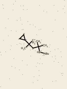 CC(C)(C)BC(C)(C)CC(C)(C)C1CC1